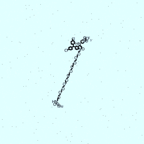 CC(C)(C)OC(=O)NCCOCCOCCOCCOCCOCCOCCOCCOCCOCCOCCOCCn1c(=O)cc(NC2CCN(S(=O)(=O)C(F)(F)F)CC2)c2cc(C(c3ccc(Cl)cc3)c3ccc(Cl)cc3)ccc21